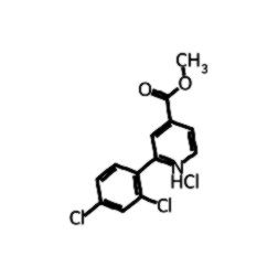 COC(=O)c1ccnc(-c2ccc(Cl)cc2Cl)c1.Cl